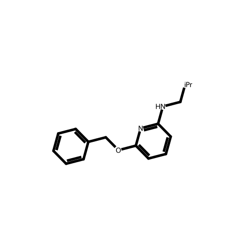 CC(C)CNc1cccc(OCc2ccccc2)n1